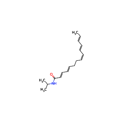 C/C=C/C=C/C=C\CC/C=C/C=C/C(=O)NC(C)C